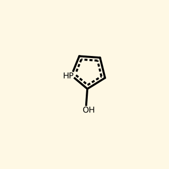 Oc1ccc[pH]1